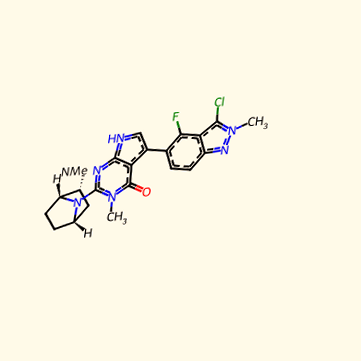 CN[C@@H]1C[C@@H]2CC[C@H]1N2c1nc2[nH]cc(-c3ccc4nn(C)c(Cl)c4c3F)c2c(=O)n1C